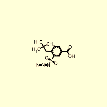 CC(C)(C)Cc1ccc(C(=O)O)cc1S(=O)(=O)N=[N+]=[N-]